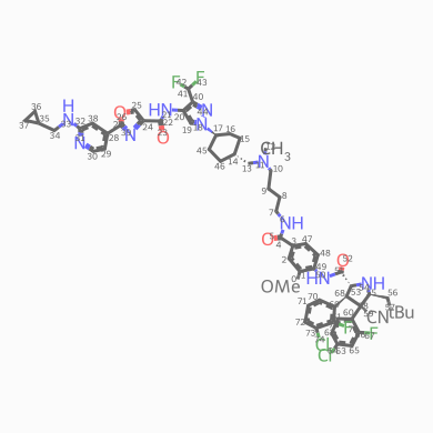 COc1cc(C(=O)NCCCCN(C)C[C@H]2CC[C@H](n3cc(NC(=O)c4coc(-c5ccnc(NCC6CC6)c5)n4)c(C(F)F)n3)CC2)ccc1NC(=O)[C@@H]1N[C@@H](CC(C)(C)C)[C@](C#N)(c2ccc(Cl)cc2F)[C@H]1c1cccc(Cl)c1F